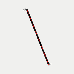 B=BB=BB=BB=BB=BB=BB=BB=BB=BB=BB=BB=BB=BB=BB=BB=BB=BB=BB=BB=BB=BB=BB=BB=BB=BB=BB=BB=BB=BB=BB=BB=BB=BB=BB=BB=BB=BB=BB=BB=BB=BB=BB=BB=BB=BB=BB=BOCCC